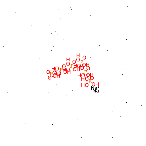 O=P(O)(O)O.O=P(O)(O)O.O=P(O)(O)O.O=P(O)(O)O.O=P(O)(O)O.O=P([O-])([O-])O.[Na+].[Na+]